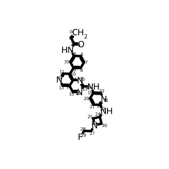 C=CC(=O)Nc1cccc(-c2cncc3cnc(Nc4ccc(NC5CN(CCF)C5)nc4)nc23)c1